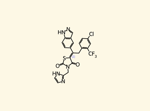 O=C1S/C(=C(/Cc2ccc(Cl)cc2C(F)(F)F)c2ccc3[nH]ncc3c2)C(=O)N1Cc1ncc[nH]1